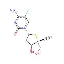 C#C[C@]1(CO)S[C@@H](n2cc(F)c(N)nc2=O)C[C@@H]1O